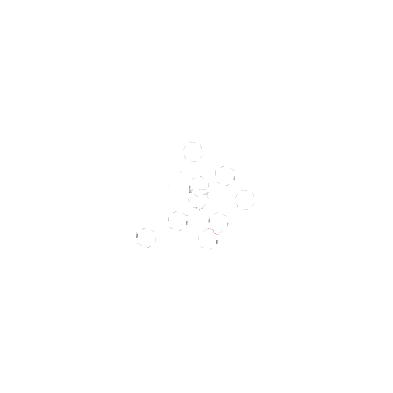 CC1(C)c2ccccc2-c2ccc(N(c3ccc(-c4ccccc4)cc3-c3ccccc3)c3cccc4c3C3(c5ccccc5-c5ccccc53)c3ccccc3-4)cc21